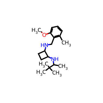 COc1cccc(C)c1CNC1CCC1NC(C)C(C)(C)C